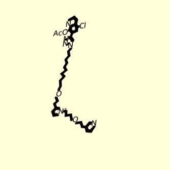 CC(=O)Oc1c(-c2cn(CCCCCCCCCCCCOCCCc3ccc[n+](CCCCOCCCc4cccnc4)c3)nn2)cc(Cl)c2cccnc12